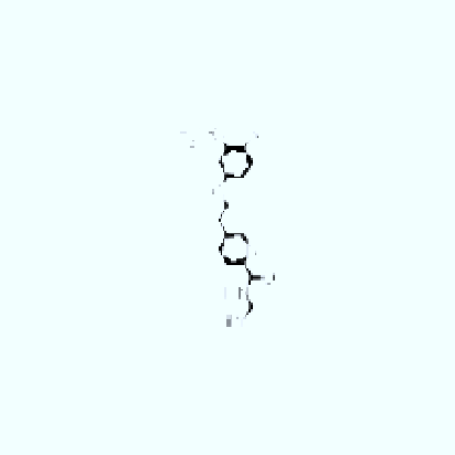 CC(C)CNC(=O)c1ccc(CCOc2ccc(Br)c(OC(F)(F)F)c2)cn1